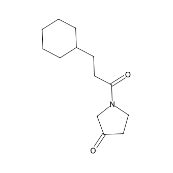 O=C1CCN(C(=O)CCC2CCCCC2)C1